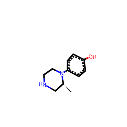 C[C@@H]1CNCCN1c1ccc(O)cc1